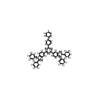 c1ccc(-c2ccc(-c3nc(-c4ccc5c(c4)nc(-c4ccccc4)n5-c4ccccc4)nc(-c4ccc5c(c4)nc(-c4ccccc4)n5-c4ccccc4)n3)cc2)cc1